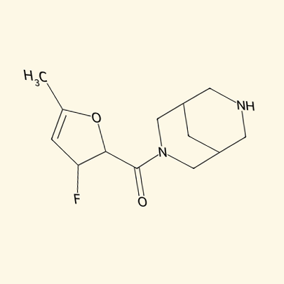 CC1=CC(F)C(C(=O)N2CC3CNCC(C3)C2)O1